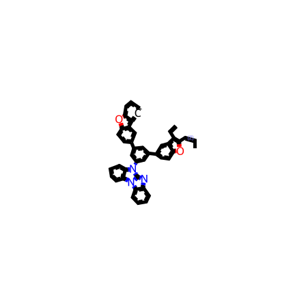 C=Cc1c(/C=C\C)oc2ccc(-c3cc(-c4ccc5oc6ccccc6c5c4)cc(-n4c5ccccc5n5c6ccccc6nc45)c3)cc12